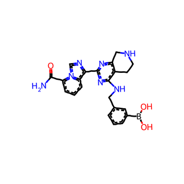 NC(=O)c1cccc2c(-c3nc4c(c(NCc5cccc(B(O)O)c5)n3)CCNC4)ncn12